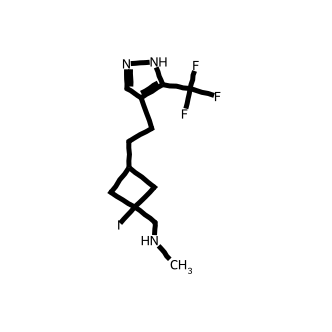 CNCC1(I)CC(CCc2cn[nH]c2C(F)(F)F)C1